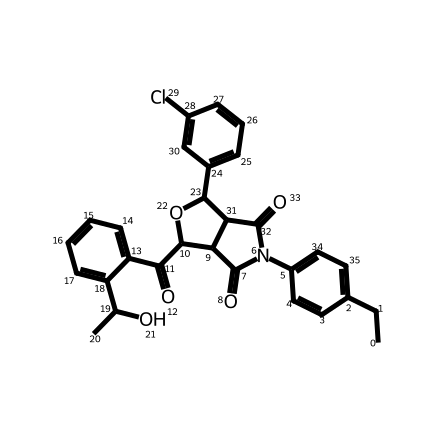 CCc1ccc(N2C(=O)C3C(C(=O)c4ccccc4C(C)O)OC(c4cccc(Cl)c4)C3C2=O)cc1